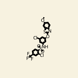 COc1ccc2nc(Oc3cc(Cl)cc(NS(=O)(=O)c4ccc(C(F)(F)F)cc4Cl)c3)sc2c1